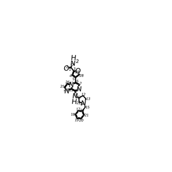 NC(=O)c1cc(-c2cnc(NC3CCN(Cc4ccccc4)C3)c3nccn23)co1